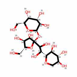 OC[C@H]1O[C@H](O[C@@]2(C(O)C(O)[C@H]3OC[C@H](O)[C@@H](O)[C@@H]3O)O[C@H](CO)[C@@H](O)[C@@H]2O)[C@H](O)[C@@H](O)[C@H]1O